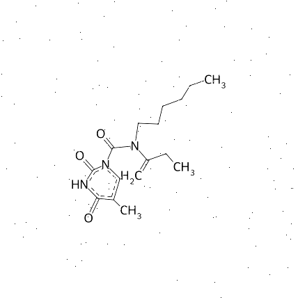 C=C(CC)N(CCCCCC)C(=O)n1cc(C)c(=O)[nH]c1=O